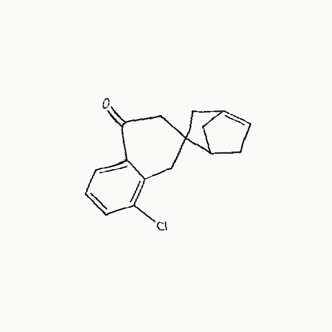 O=C1CC2(CC3=CCC2C3)Cc2c(Cl)cccc21